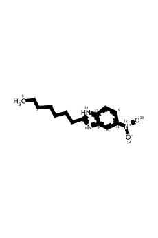 CCCCCCCc1nc2cc([N+](=O)[O-])ccc2[nH]1